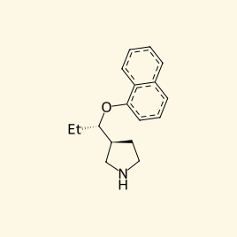 CC[C@H](Oc1cccc2ccccc12)[C@H]1CCNC1